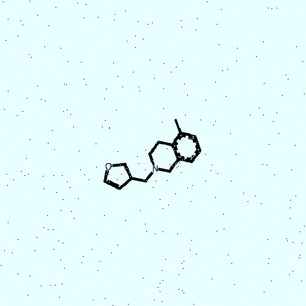 Cc1cccc2c1CCN(CC1C=COC1)C2